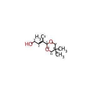 CC(=CCO)C1OCC(C)(C)CO1